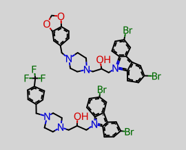 OC(CN1CCN(Cc2ccc(C(F)(F)F)cc2)CC1)Cn1c2ccc(Br)cc2c2cc(Br)ccc21.OC(CN1CCN(Cc2ccc3c(c2)OCO3)CC1)Cn1c2ccc(Br)cc2c2cc(Br)ccc21